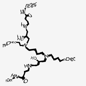 CCCCCCCCCCCCCCN(CCCCN(CCCCCCCCCCCC)CC(O)CNCCC(=O)NCCCCCCCCCC)CC(O)CNCCC(=O)NCCCCCCCCCC